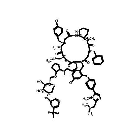 COC[C@@H]1NC(=O)[C@H](CCCNC2CCCC2OC[C@H]2OC[C@H](Nc3cncc(C(F)(F)F)n3)[C@@H](O)[C@H]2O)N(Cc2ccc(Cl)cc2Oc2ccc(-c3cnc(CN(C)C)n3C)cc2)C(=O)C[C@@H](Cc2ccccc2)C(=O)N(C)[C@H]2CCCC[C@@H]2NC(=O)C[C@H](Cc2ccc(Cl)cc2)N(C)C1=O